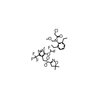 CCc1cccc(CC)c1N(COC)C(=O)CCl.Cn1nc(C(F)(F)F)c(CS(=O)(=O)C2=NOC(C)(C)C2)c1OC(F)F